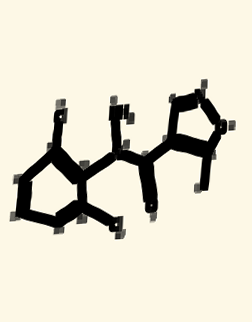 Cc1oncc1C(=O)N(N)c1c(Cl)cccc1Cl